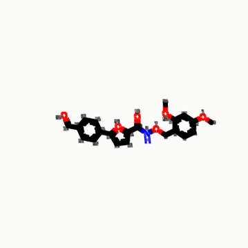 COc1ccc(CONC(=O)c2ccc(-c3ccc(C=O)cc3)o2)c(OC)c1